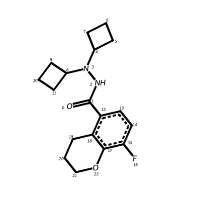 O=C(NN(C1CCC1)C1CCC1)c1ccc(F)c2c1CCCO2